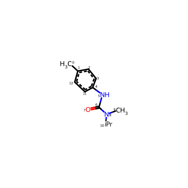 Cc1ccc(NC(=O)N(C)C(C)C)cc1